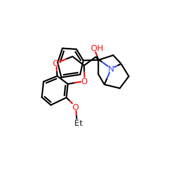 CCOc1cccc2c1OC(CN1C3CCC1CC(O)(c1ccccc1)C3)CO2